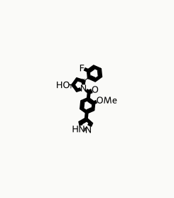 COc1cc(-c2cn[nH]c2)ccc1C(=O)N1C[C@H](O)C[C@@H]1c1ccccc1F